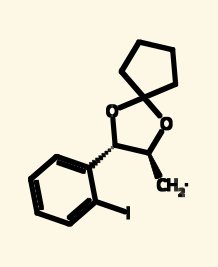 [CH2][C@@H]1OC2(CCCC2)O[C@H]1c1ccccc1I